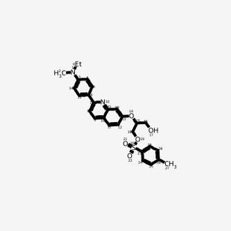 CCN(C)c1ccc(-c2ccc3ccc(OC(CO)COS(=O)(=O)c4ccc(C)cc4)cc3n2)cc1